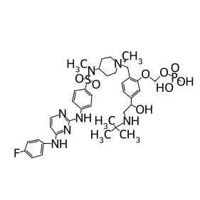 CN(C1CC[N+](C)(Cc2ccc(C(O)CNC(C)(C)C)cc2OCOP(=O)(O)O)CC1)S(=O)(=O)c1ccc(Nc2nccc(Nc3ccc(F)cc3)n2)cc1